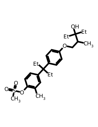 CCC(CC)(c1ccc(OCC(C)C(O)(CC)CC)cc1)c1ccc(OS(C)(=O)=O)c(C)c1